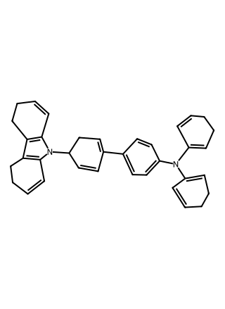 C1=CC(N(C2=CCCC=C2)c2ccc(C3=CCC(n4c5c(c6c4C=CCC6)CCC=C5)C=C3)cc2)=CCC1